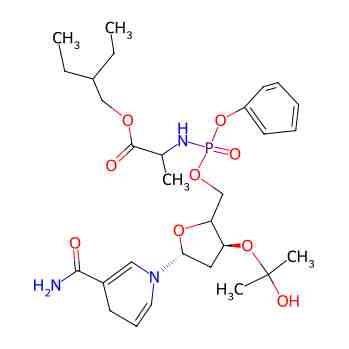 CCC(CC)COC(=O)C(C)NP(=O)(OCC1O[C@@H](N2C=CCC(C(N)=O)=C2)C[C@@H]1OC(C)(C)O)Oc1ccccc1